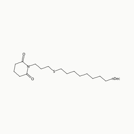 CCCCCCCCCCCCCCCCCCSCCCN1C(=O)CCCC1=O